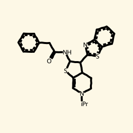 CC(C)N1C=C2SC(NC(=O)Cc3ccccc3)C(c3nc4ccccc4s3)C2CC1